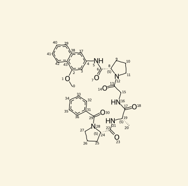 COc1cc(NC(=O)[C@@H]2CCCN2C(=O)CNC(=O)[C@H](C)NC(=O)[C@@H]2CCCN2C(=O)c2ccccc2)cc2ccccc12